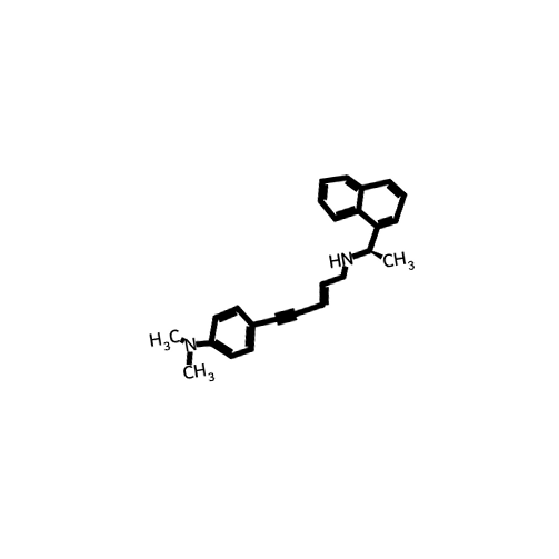 C[C@@H](NC/C=C/C#Cc1ccc(N(C)C)cc1)c1cccc2ccccc12